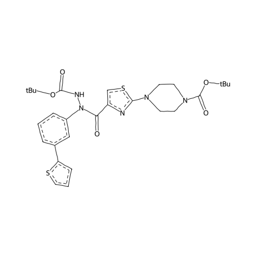 CC(C)(C)OC(=O)NN(C(=O)c1csc(N2CCN(C(=O)OC(C)(C)C)CC2)n1)c1cccc(-c2cccs2)c1